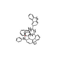 C1=CC2C(c3ccccc3N2c2ccccc2)c2c1oc1cccc(-c3nc(-c4ccccc4)nc(-c4ccc5sc6ccccc6c5c4)n3)c21